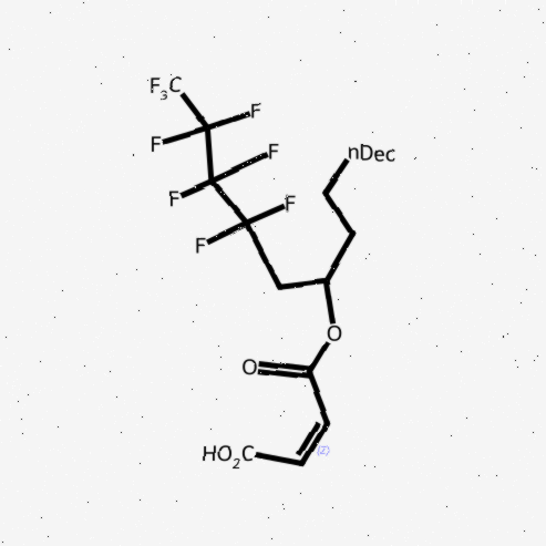 CCCCCCCCCCCCC(CC(F)(F)C(F)(F)C(F)(F)C(F)(F)F)OC(=O)/C=C\C(=O)O